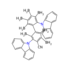 Bc1c(B)c(B)c(-n2c3ccccc3c3ccccc32)c(-c2c(B)c(B)c(C#N)c(-n3c4ccccc4c4ccccc43)c2B)c1B